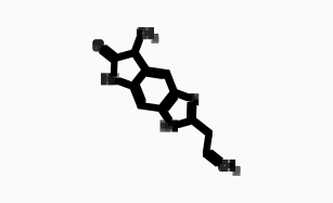 C=CCc1nc2cc3c(cc2[nH]1)NC(=O)C3C